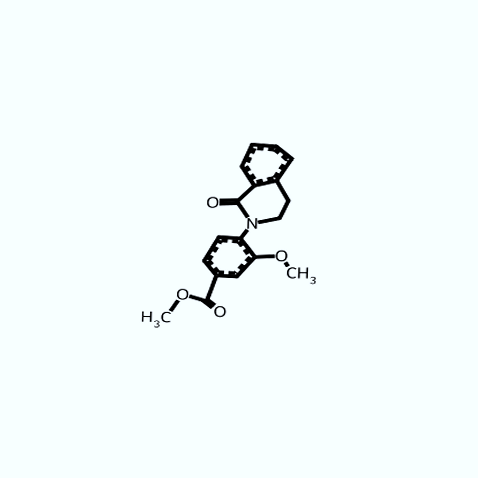 COC(=O)c1ccc(N2CCc3ccccc3C2=O)c(OC)c1